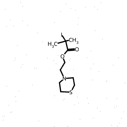 CC(C)(I)C(=O)OCCN1CCSCC1